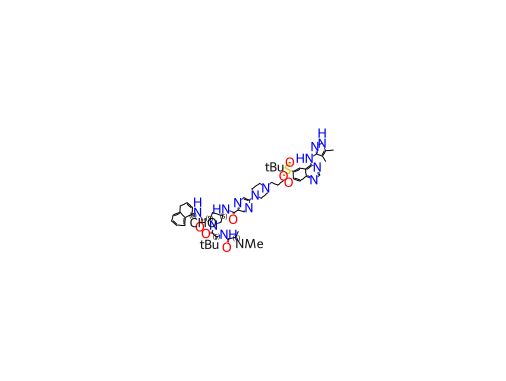 CN[C@@H](C)C(=O)N[C@H](C(=O)N1C[C@@H](NC(=O)c2cnc(N3CCN(CCCOc4cc5ncnc(Nc6n[nH]c(C)c6C)c5cc4S(=O)(=O)C(C)(C)C)CC3)cn2)C[C@H]1C(=O)N[C@]1(C=O)C=CCc2ccccc21)C(C)(C)C